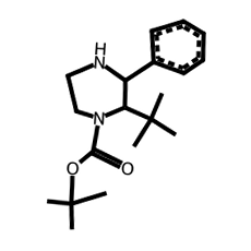 CC(C)(C)OC(=O)N1CCNC(c2ccccc2)C1C(C)(C)C